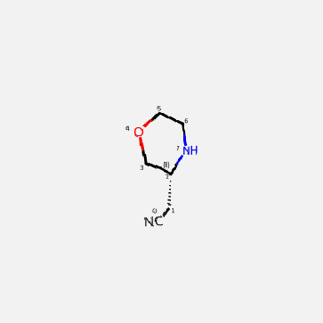 N#CC[C@@H]1COCCN1